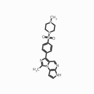 Cc1nc(-c2ccc(S(=O)(=O)N3CCN(C)CC3)cc2)c2cnc3[nH]ccc3n12